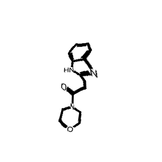 O=C(Cc1nc2ccccc2[nH]1)N1CCOCC1